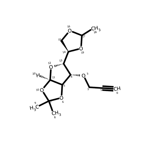 C#CCO[C@@H]1C2OC(C)(C)O[C@H]2O[C@@H]1[C@H]1COC(C)O1